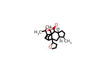 CC(C)C1=CC2CC3(C=O)[C@@H]4CC[C@@H](C)[C@H]4CC2(C2CCCO2)C13C(=O)O